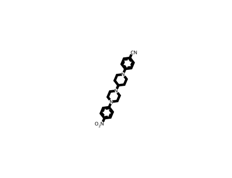 N#Cc1ccc(N2CCC(N3CCN(c4ccc([N+](=O)[O-])cc4)CC3)CC2)cc1